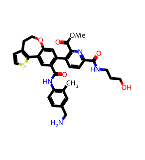 COC(=O)c1nc(C(=O)NCCCO)ccc1-c1cc2c(cc1C(=O)Nc1ccc(CN)cc1C)-c1sccc1CCO2